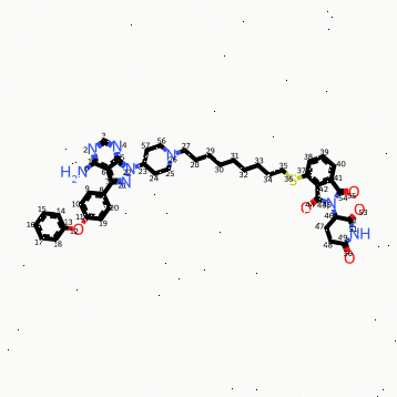 Nc1ncnc2c1c(-c1ccc(Oc3ccccc3)cc1)nn2C1CCN(CCCCCCCCCSc2cccc3c2C(=O)N(C2CCC(=O)NC2=O)C3=O)CC1